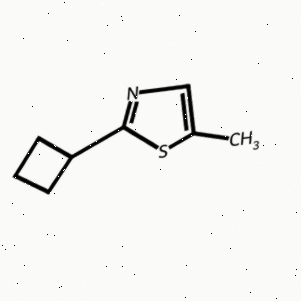 Cc1cnc(C2CCC2)s1